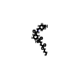 CCCCOC(=O)CCNC(=O)[C@@H]1CCCN(C(=O)/C=C/C2CCNCC2)C1